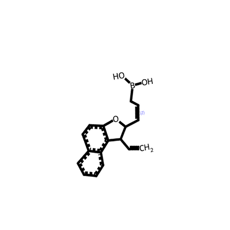 C=CC1c2c(ccc3ccccc23)OC1/C=C\CB(O)O